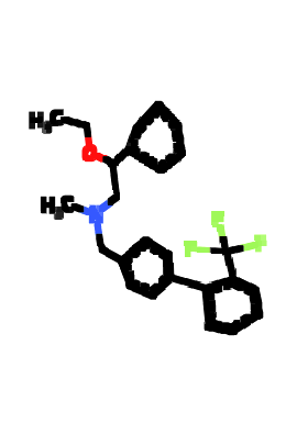 CCOC(CN(C)Cc1ccc(-c2ccccc2C(F)(F)F)cc1)c1ccccc1